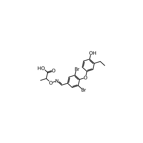 CCc1cc(Oc2c(Br)cc(C=NOC(C)C(=O)O)cc2Br)ccc1O